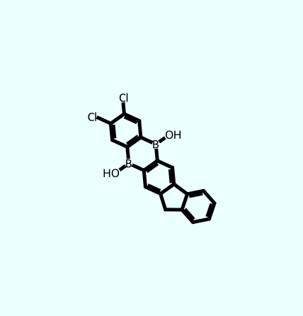 OB1c2cc(Cl)c(Cl)cc2B(O)c2cc3c(cc21)Cc1ccccc1-3